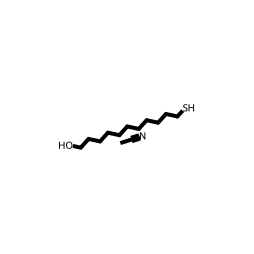 CC#N.OCCCCCCCCCCCS